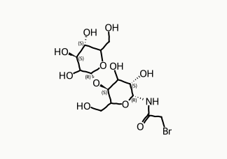 O=C(CBr)N[C@@H]1OC(CO)[C@@H](O[C@H]2OC(CO)[C@@H](O)[C@H](O)C2O)C(O)[C@@H]1O